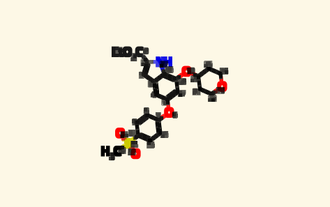 CCOC(=O)c1cc2cc(Oc3ccc(S(C)(=O)=O)cc3)cc(OC3CCOCC3)c2[nH]1